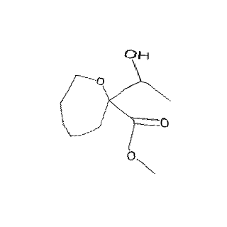 COC(=O)C1(C(C)O)CCCCO1